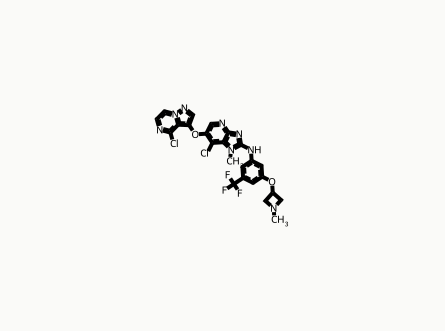 CN1CC(Oc2cc(Nc3nc4ncc(Oc5cnn6ccnc(Cl)c56)c(Cl)c4n3C)cc(C(F)(F)F)c2)C1